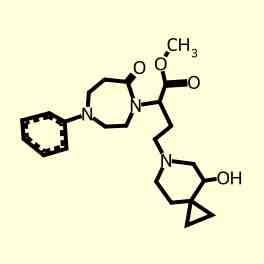 COC(=O)C(CCN1CCC2(CC2)C(O)C1)N1CCN(c2ccccc2)CCC1=O